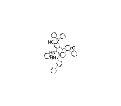 N#CC1=C(n2c3ccccc3c3ccccc32)CC(N2C3=C(CCC=C3)C3c4c(oc5c4C=CCC5)C=CC32)C(C2C=CC(C3C=C(C4C=CCCC4)C=CC3)NC(C3CC=CCC3)N2)=C1